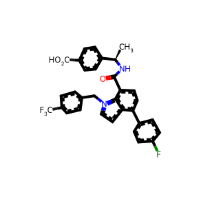 C[C@@H](NC(=O)c1ccc(-c2ccc(F)cc2)c2ccn(Cc3ccc(C(F)(F)F)cc3)c12)c1ccc(C(=O)O)cc1